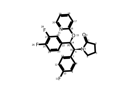 O=C1CCCN1[C@@H](c1ccc(F)cc1)[C@H](Oc1ccccn1)c1ccc(F)c(F)c1